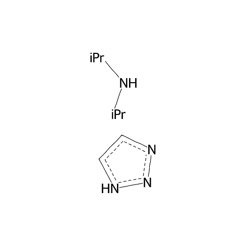 CC(C)NC(C)C.c1c[nH]nn1